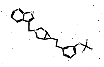 FC(F)(F)Oc1cccc([CH]CC2C3CN(Cc4c[nH]c5ccccc45)CC23)c1